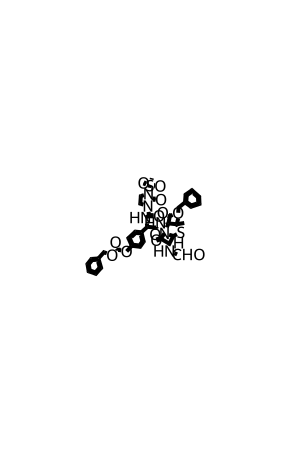 CC1(C)S[C@@H]2[C@@H](NC=O)C(=O)N2[C@@]1(NC(=O)C(NC(=O)N1CCN(S(C)(=O)=O)C1=O)c1ccc(OC(=O)OCc2ccccc2)cc1)C(=O)OCc1ccccc1